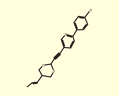 C/C=C/C1COC(C#Cc2ccc(-c3ccc(Cl)cc3)nc2)OC1